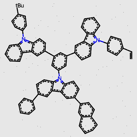 C=Cc1ccc(-n2c3ccccc3c3cc(-c4cc(-c5ccc6c(c5)c5ccccc5n6-c5ccc(C(C)(C)C)cc5)cc(-n5c6ccc(-c7ccccc7)cc6c6cc(-c7ccc8ccccc8c7)ccc65)c4)ccc32)cc1